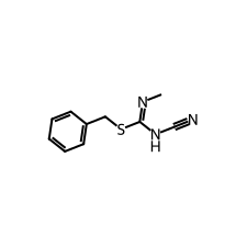 CN=C(NC#N)SCc1ccccc1